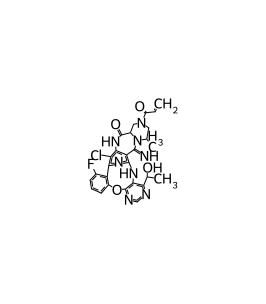 C=CC(=O)N1CC(C)N2C(=N)c3c4nc(c(Cl)c3NC(=O)C2C1)-c1c(F)cccc1Oc1ncnc(C(C)O)c1N4